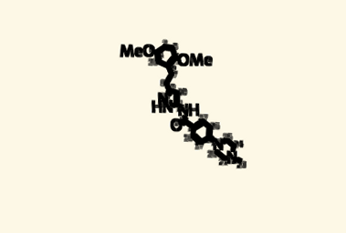 COc1ccc(OC)c(CCc2cc(NC(=O)c3ccc(N4CCN(C)CC4)cc3)[nH]n2)c1